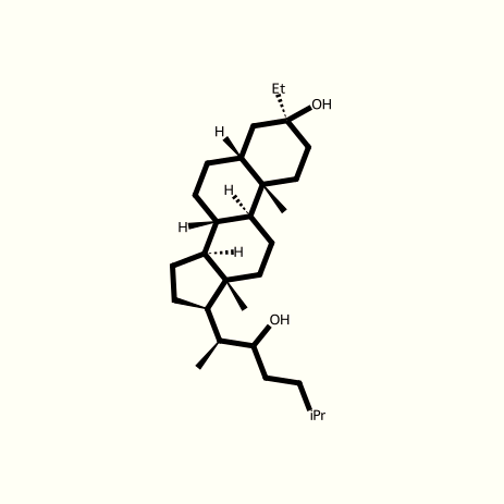 CC[C@]1(O)CC[C@@]2(C)[C@H](CC[C@@H]3[C@@H]2CC[C@]2(C)[C@@H]([C@H](C)C(O)CCC(C)C)CC[C@@H]32)C1